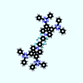 Fc1c(F)c(N2c3ccccc3C(c3ccc(-c4nc(-c5ccccc5)nc(-c5ccccc5)n4)cc3)(c3ccc(-c4nc(-c5ccccc5)nc(-c5ccccc5)n4)cc3)c3ccccc32)c(F)c(F)c1-c1c(F)c(F)c(N2c3ccccc3C(c3ccc(-c4nc(-c5ccccc5)nc(-c5ccccc5)n4)cc3)(c3ccc(-c4nc(-c5ccccc5)nc(-c5ccccc5)n4)cc3)c3ccccc32)c(F)c1F